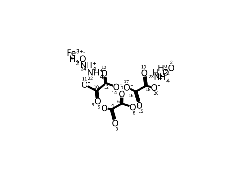 O.O.O.O=C([O-])C(=O)[O-].O=C([O-])C(=O)[O-].O=C([O-])C(=O)[O-].[Fe+3].[NH4+].[NH4+].[NH4+]